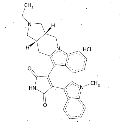 CCN1C[C@H]2Cc3c(C4=C(c5cn(C)c6ccccc56)C(=O)NC4=O)c4ccccc4n3C[C@H]2C1.Cl